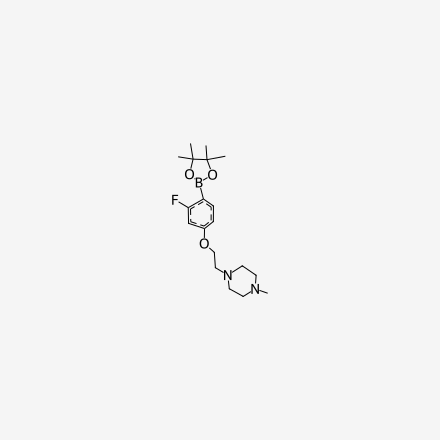 CN1CCN(CCOc2ccc(B3OC(C)(C)C(C)(C)O3)c(F)c2)CC1